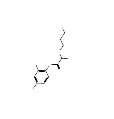 CCCCOC(C)C(=O)Nc1ccc(Cl)cc1Cl